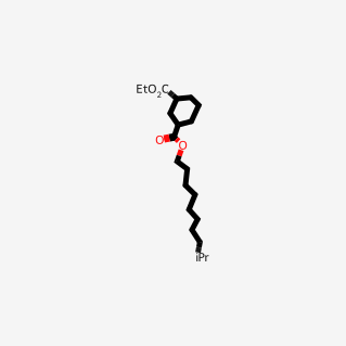 CCOC(=O)C1CCCC(C(=O)OCCCCCCCCC(C)C)C1